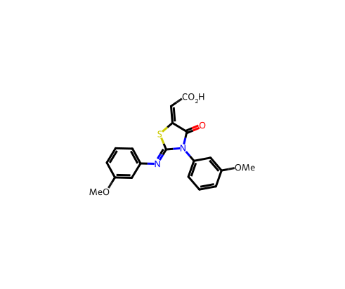 COc1cccc(N=C2SC(=CC(=O)O)C(=O)N2c2cccc(OC)c2)c1